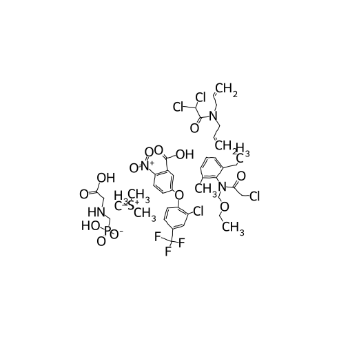 C=CCN(CC=C)C(=O)C(Cl)Cl.CCOCN(C(=O)CCl)c1c(C)cccc1CC.C[S+](C)C.O=C(O)CNCP(=O)([O-])O.O=C(O)c1cc(Oc2ccc(C(F)(F)F)cc2Cl)ccc1[N+](=O)[O-]